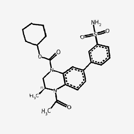 CC(=O)N1c2ccc(-c3cccc(S(N)(=O)=O)c3)cc2N(C(=O)OC2CCCCC2)C[C@@H]1C